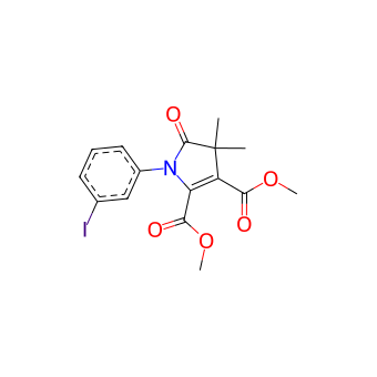 COC(=O)C1=C(C(=O)OC)C(C)(C)C(=O)N1c1cccc(I)c1